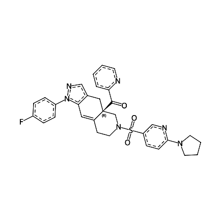 O=C(c1ccccn1)[C@]12Cc3cnn(-c4ccc(F)cc4)c3C=C1CCN(S(=O)(=O)c1ccc(N3CCCC3)nc1)C2